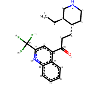 CC[C@H]1CNCC[C@@H]1CCC(=O)c1cc(C(F)(F)F)nc2ccccc12